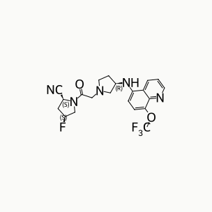 N#C[C@@H]1C[C@H](F)CN1C(=O)CN1CC[C@@H](Nc2ccc(OC(F)(F)F)c3ncccc23)C1